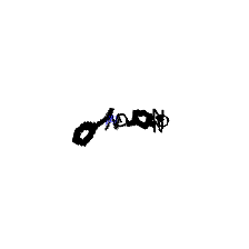 C/C(=N\OCc1ccc2nonc2c1)c1ccccc1